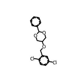 Clc1ccc(Cl)c(COC2COC(c3ccccc3)OC2)c1